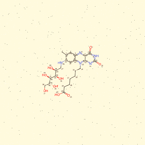 Cc1cc2nc3c(=O)[nH]c(=O)nc-3n(CCCCCCC(=O)O)c2cc1NC[C@H](O)[C@@H](O)[C@H](O)[C@H](O)CO